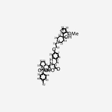 COC(=O)[C@H](Cc1ccc(OCCN2CCC(O)(c3sccc3OC)CC2)cc1)NC(=O)[C@@H]1CCCN1S(=O)(=O)c1ccc(C)cc1